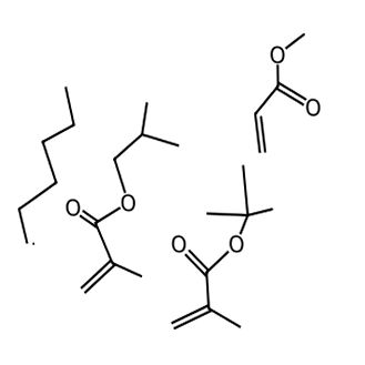 C=C(C)C(=O)OC(C)(C)C.C=C(C)C(=O)OCC(C)C.C=CC(=O)OC.[CH2]CCCCC